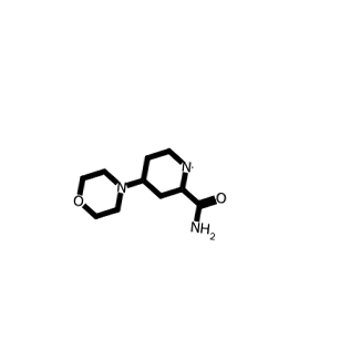 NC(=O)C1CC(N2CCOCC2)CC[N]1